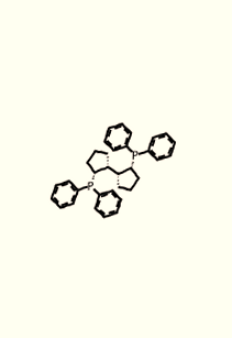 c1ccc(P(c2ccccc2)[C@@H]2CCC[C@@H]2[C@H]2CCC[C@H]2P(c2ccccc2)c2ccccc2)cc1